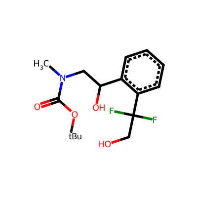 CN(CC(O)c1ccccc1C(F)(F)CO)C(=O)OC(C)(C)C